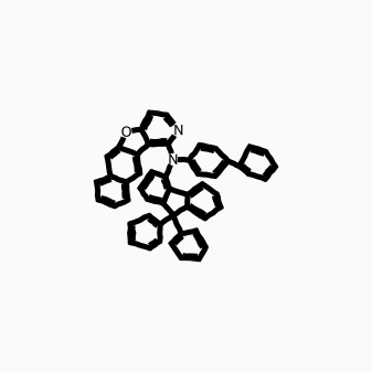 c1ccc(-c2ccc(N(c3cccc4c3-c3ccccc3C4(c3ccccc3)c3ccccc3)c3nccc4oc5cc6ccccc6cc5c34)cc2)cc1